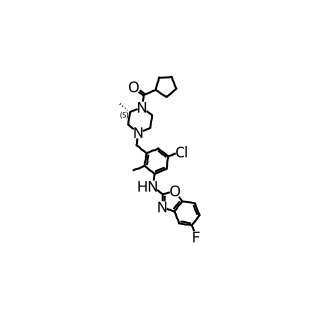 Cc1c(CN2CCN(C(=O)C3CCCC3)[C@@H](C)C2)cc(Cl)cc1Nc1nc2cc(F)ccc2o1